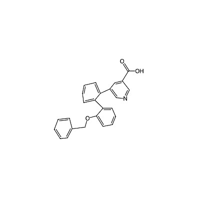 O=C(O)c1cncc(-c2ccccc2-c2ccccc2OCc2ccccc2)c1